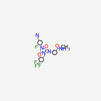 CNC(=O)c1cccc(N2CC3(C2)C(=O)N(c2ccc(C#N)cc2F)CC(=O)N3Cc2ccc(C(F)(F)F)cc2)c1